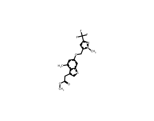 COC(=O)Cc1csc2cc(OCc3cc(C(F)(F)F)nn3C)cc(C)c12